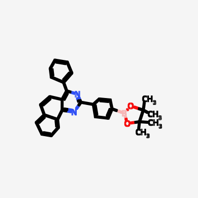 CC1(C)OB(c2ccc(-c3nc(-c4ccccc4)c4ccc5ccccc5c4n3)cc2)OC1(C)C